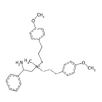 COc1ccc(CCC[N+](C)(CCCc2ccc(OC)cc2)CC(N)c2ccccc2)cc1